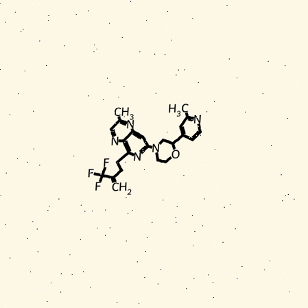 C=C(CCc1nc(N2CCOC(c3ccnc(C)c3)C2)cc2nc(C)cnc12)C(F)(F)F